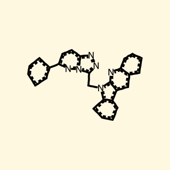 c1ccc(-c2ccc3nnc(Cn4c5ccccc5c5cc6ccccc6nc54)n3n2)cc1